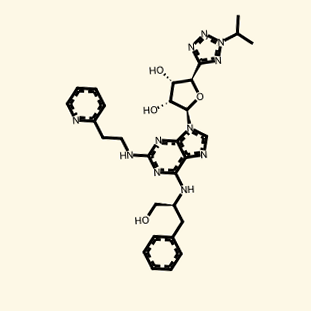 CC(C)n1nnc([C@H]2O[C@@H](n3cnc4c(N[C@H](CO)Cc5ccccc5)nc(NCCc5ccccn5)nc43)[C@H](O)[C@@H]2O)n1